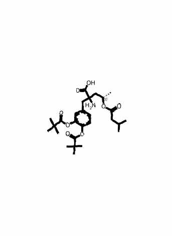 CC(C)CC(=O)O[C@@H](C)CC(N)(Cc1ccc(OC(=O)C(C)(C)C)c(OC(=O)C(C)(C)C)c1)C(=O)O